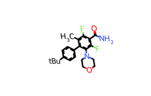 Cc1c(F)c(C(N)=O)c(F)c(N2CCOCC2)c1-c1ccc(C(C)(C)C)cc1